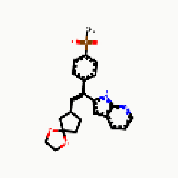 CS(=O)(=O)c1ccc(C(=CC2CCC3(C2)OCCO3)c2cc3cccnc3[nH]2)cc1